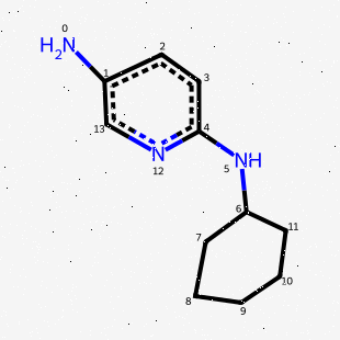 Nc1ccc(NC2CCCCC2)nc1